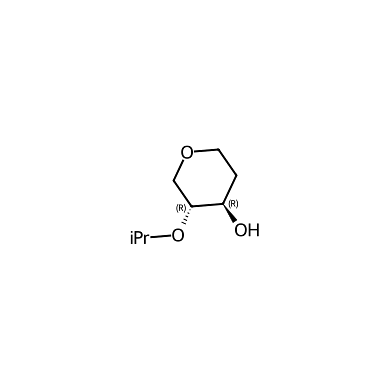 CC(C)O[C@@H]1COCC[C@H]1O